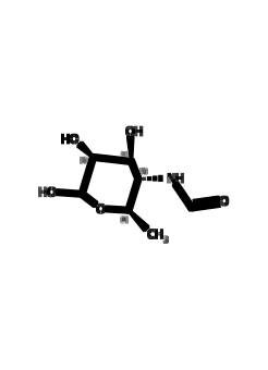 C[C@H]1OC(O)[C@@H](O)[C@@H](O)[C@@H]1NC=O